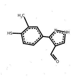 Cc1cc(-c2n[nH]cc2C=O)ccc1S